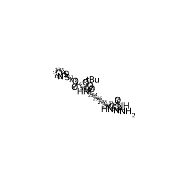 CC(C)(C)OC(=O)[C@H](CCC(=O)OCCSSc1ccccn1)NC(=O)CCCCCCCc1cc2c(=O)[nH]c(N)nc2[nH]1